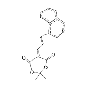 CC1(C)OC(=O)C(=CC=Cc2cncc3ccccc23)C(=O)O1